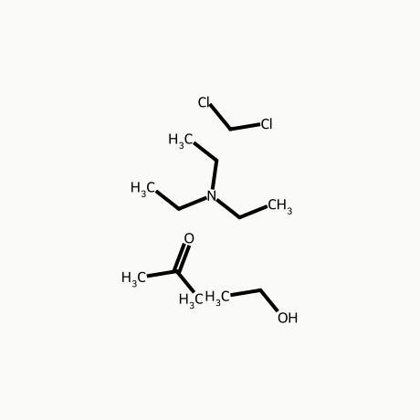 CC(C)=O.CCN(CC)CC.CCO.ClCCl